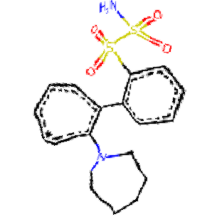 NS(=O)(=O)S(=O)(=O)c1ccccc1-c1ccccc1N1CCCCC1